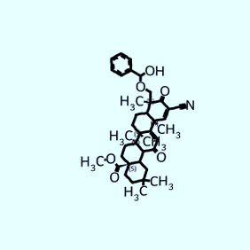 COC(=O)[C@]12CCC(C)(C)CC1C1C(=O)C=C3[C@@]4(C)C=C(C#N)C(=O)[C@@](C)(COC(O)c5ccccc5)C4CC[C@@]3(C)[C@]1(C)CC2